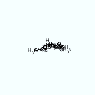 CCCCCOc1ccc(Nc2nc(CN3CCCC(C(=O)N(CC)CC)C3)cs2)cc1F